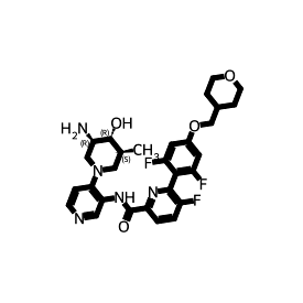 C[C@H]1CN(c2ccncc2NC(=O)c2ccc(F)c(-c3c(F)cc(OCC4CCOCC4)cc3F)n2)C[C@@H](N)[C@@H]1O